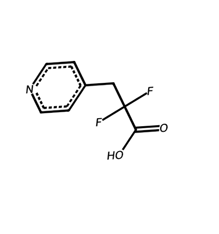 O=C(O)C(F)(F)Cc1ccncc1